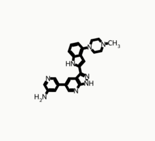 CN1CCN(c2cccc3[nH]c(-c4n[nH]c5ncc(-c6cncc(N)c6)cc45)cc23)CC1